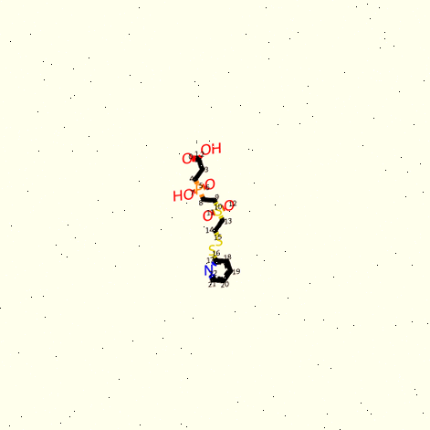 O=C(O)CCP(=O)(O)CCS(=O)(=O)CCSSc1ccccn1